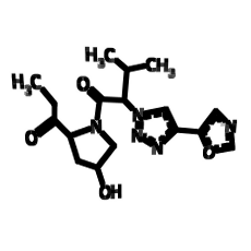 CCC(=O)C1CC(O)CN1C(=O)C(C(C)C)n1cc(-c2cnco2)nn1